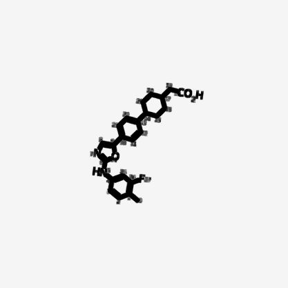 Cc1ccc(Nc2ncc(-c3ccc(C4CCC(CC(=O)O)CC4)cc3)o2)cc1F